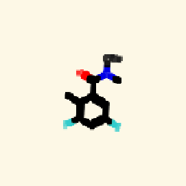 CON(C)C(=O)c1cc(F)cc(F)c1C